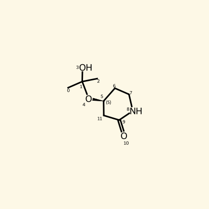 CC(C)(O)O[C@H]1CCNC(=O)C1